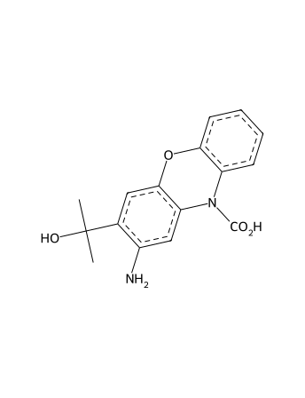 CC(C)(O)c1cc2c(cc1N)N(C(=O)O)c1ccccc1O2